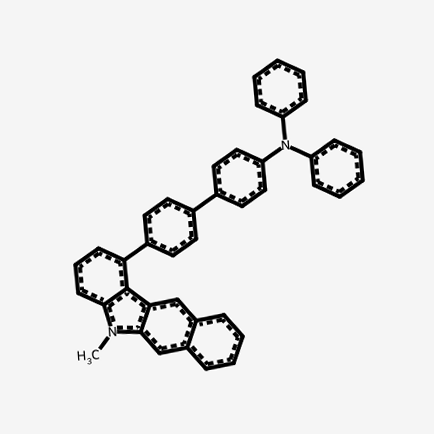 Cn1c2cc3ccccc3cc2c2c(-c3ccc(-c4ccc(N(c5ccccc5)c5ccccc5)cc4)cc3)cccc21